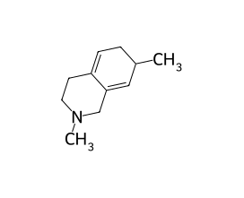 CC1C=C2CN(C)CCC2=CC1